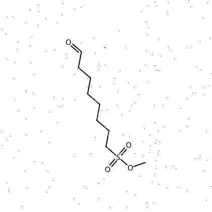 COS(=O)(=O)CCCCCCCC=O